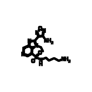 CCn1c(-c2nonc2N)nc2cncc(S(=O)(=O)NCCCCN)c21